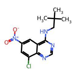 CC(C)(C)CNc1ncnc2c(Cl)cc([N+](=O)[O-])cc12